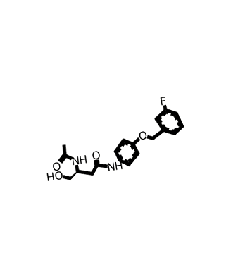 CC(=O)N[C@H](CO)CC(=O)Nc1ccc(OCc2cccc(F)c2)cc1